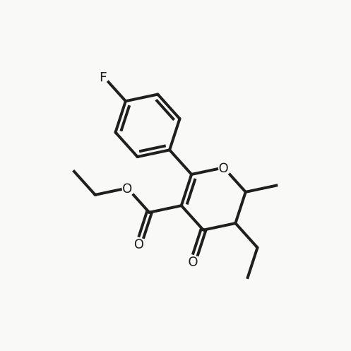 CCOC(=O)C1=C(c2ccc(F)cc2)OC(C)C(CC)C1=O